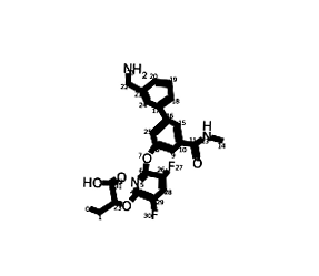 CCC(Oc1nc(Oc2cc(C(=O)NC)cc(-c3cccc(CN)c3)c2)c(F)cc1F)C(=O)O